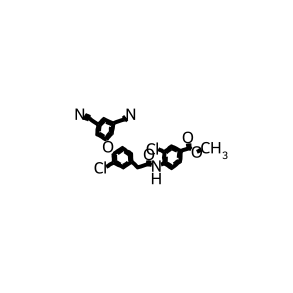 COC(=O)c1ccc(NC(=O)Cc2ccc(Oc3cc(C#N)cc(C#N)c3)c(Cl)c2)c(Cl)c1